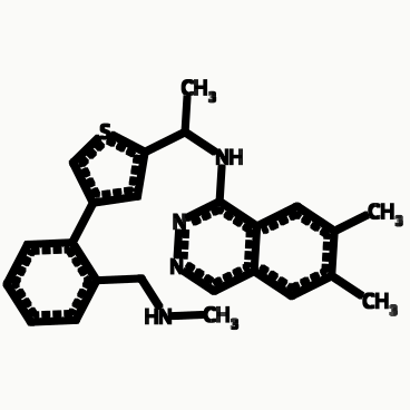 CNCc1ccccc1-c1csc(C(C)Nc2nncc3cc(C)c(C)cc23)c1